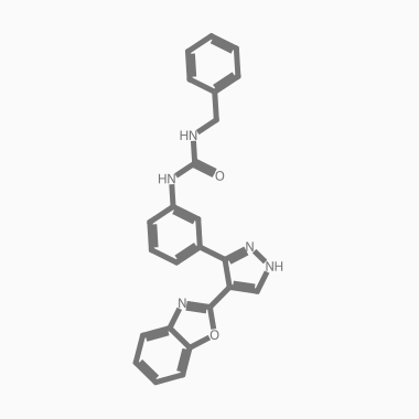 O=C(NCc1ccccc1)Nc1cccc(-c2n[nH]cc2-c2nc3ccccc3o2)c1